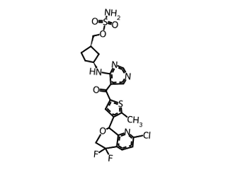 Cc1sc(C(=O)c2cncnc2N[C@H]2CC[C@@H](COS(N)(=O)=O)C2)cc1C1OCC(F)(F)c2ccc(Cl)nc21